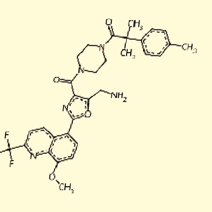 COc1ccc(-c2nc(C(=O)N3CCN(C(=O)C(C)(C)c4ccc(C)cc4)CC3)c(CN)o2)c2ccc(C(F)(F)F)nc12